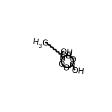 CCCCCCCCCCCC(C)(CO)CN1CCOCCOCCN(CCO)CCOCCOCC1